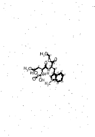 CCC[C@H](NP(=O)(O)O)C(=O)N[C@H](Cc1cn(C)c2ccccc12)C(=O)OCC